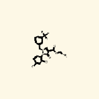 CCOC(=O)c1cn(Cc2cccc(C(F)(F)F)c2)n(-c2ccc(Cl)cc2Cl)c1=O